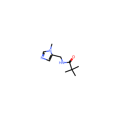 Cn1cncc1CNC(=O)C(C)(C)C